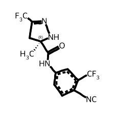 [C-]#[N+]c1ccc(NC(=O)[C@@]2(C)CC(C(F)(F)F)=NN2)cc1C(F)(F)F